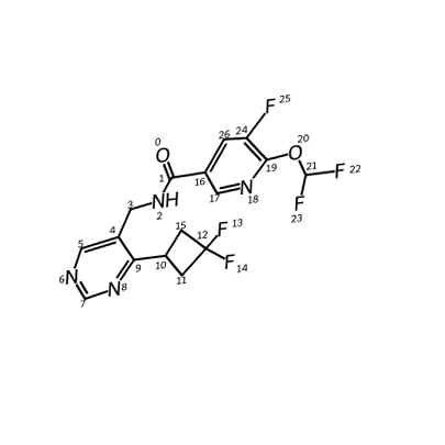 O=C(NCc1cncnc1C1CC(F)(F)C1)c1cnc(OC(F)F)c(F)c1